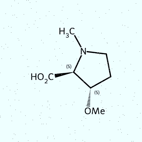 CO[C@H]1CCN(C)[C@@H]1C(=O)O